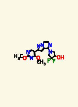 COc1ncc(-c2cc3c(N4CC(O)C(F)(F)C4)nccn3n2)c(OC)n1